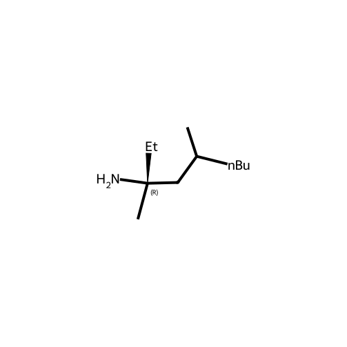 CCCCC(C)C[C@](C)(N)CC